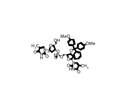 COc1ccc(C(O[C@@H]2C[C@H](n3cc(C)c(=O)[nH]c3=O)O[C@@H]2CO[PH](=O)O[C@@H]2C[C@H](n3cc(C)c(=O)[nH]c3=O)O[C@@H]2CO)(c2ccccc2)c2ccc(OC)cc2)cc1